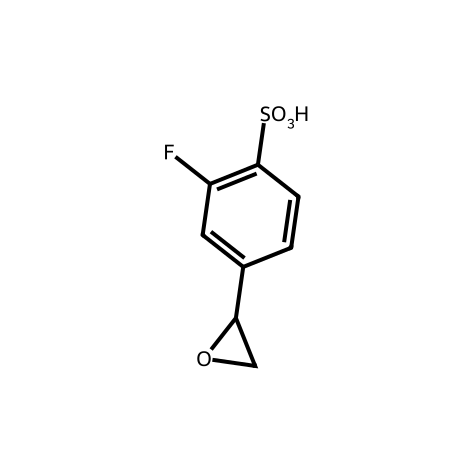 O=S(=O)(O)c1ccc(C2CO2)cc1F